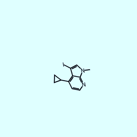 Cn1cc(I)c2c(C3CC3)ccnc21